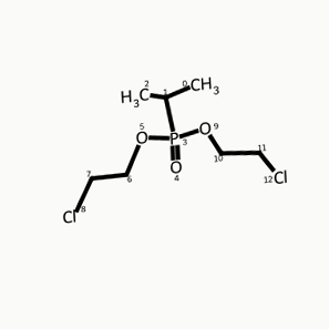 C[C](C)P(=O)(OCCCl)OCCCl